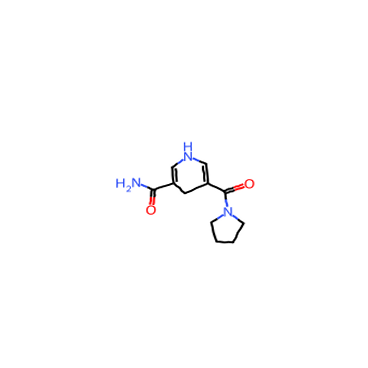 NC(=O)C1=CNC=C(C(=O)N2CCCC2)C1